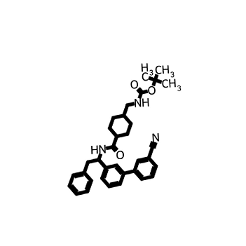 CC(C)(C)OC(=O)NCC1CCC(C(=O)NC(Cc2ccccc2)c2cccc(-c3cccc(C#N)c3)c2)CC1